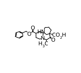 CC(C(=O)C1(C(=O)O)CCCNC1)N1CCC(C(=O)OCc2ccccc2)CC1